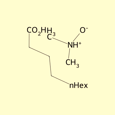 CCCCCCCCCC(=O)O.C[NH+](C)[O-]